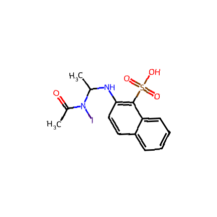 CC(=O)N(I)C(C)Nc1ccc2ccccc2c1S(=O)(=O)O